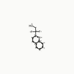 OCC(F)(F)c1ccc2ccccc2n1